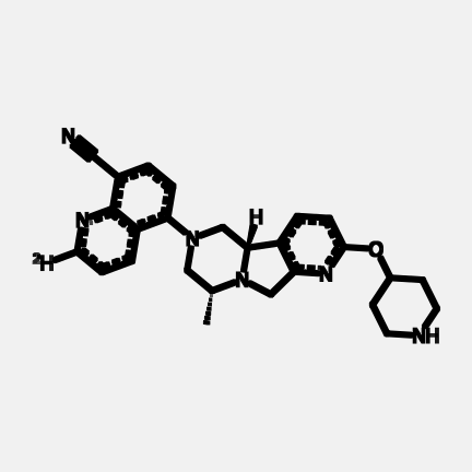 [2H]c1ccc2c(N3C[C@@H](C)N4Cc5nc(OC6CCNCC6)ccc5[C@H]4C3)ccc(C#N)c2n1